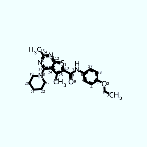 CCOc1ccc(NC(=O)c2sc3nc(C)nc(N4CCCCC4)c3c2C)cc1